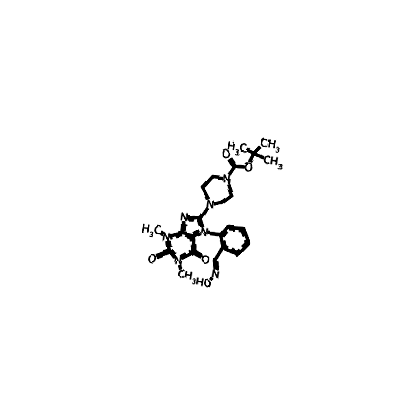 Cn1c(=O)c2c(nc(N3CCN(C(=O)OC(C)(C)C)CC3)n2-c2ccccc2C=NO)n(C)c1=O